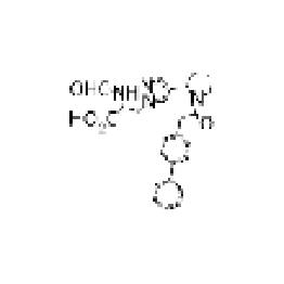 O=CNC(Cn1cc(C2CCCN2C(=O)Cc2ccc(-c3ccccc3)cc2)cn1)C(=O)O